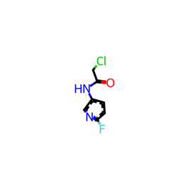 O=C(CCl)Nc1ccc(F)nc1